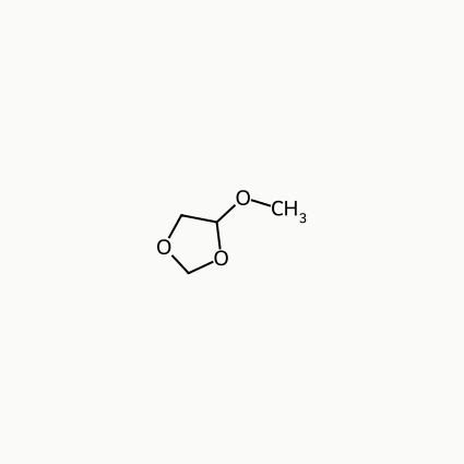 COC1COCO1